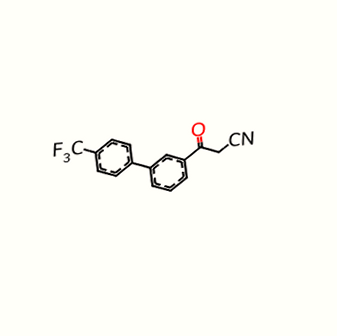 N#CCC(=O)c1cccc(-c2ccc(C(F)(F)F)cc2)c1